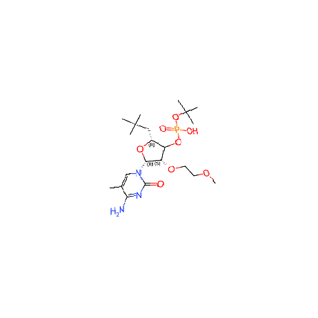 COCCO[C@H]1C(OP(=O)(O)OC(C)(C)C)[C@@H](CC(C)(C)C)O[C@H]1n1cc(C)c(N)nc1=O